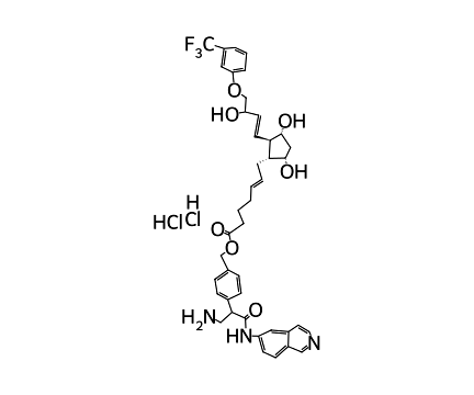 Cl.Cl.NCC(C(=O)Nc1ccc2cnccc2c1)c1ccc(COC(=O)CCCC=CC[C@@H]2[C@@H](C=CC(O)COc3cccc(C(F)(F)F)c3)[C@H](O)C[C@@H]2O)cc1